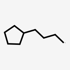 [CH2]CCC[C]1CCCC1